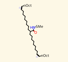 CCCCCCCC/C=C\CCCCCCCCC(CCCCCCCC/C=C\CCCCCCCC)C(=O)NSC